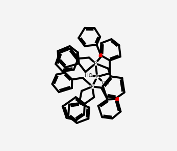 OP(O)(Cc1ccccc1)(P(Cc1ccccc1)(Cc1ccccc1)(Cc1ccccc1)Cc1ccccc1)P(Cc1ccccc1)(Cc1ccccc1)(Cc1ccccc1)Cc1ccccc1